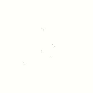 C[C@H](c1c[nH]c(=O)c2ccccc12)N(Cc1cccnc1)C(=O)Nc1ccc(F)c(Cl)c1